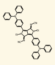 CCN1C(=NC#N)C2=C(c3ccc(N(c4ccccc4)c4ccccc4)cc3)N(CC)C(=NC#N)C2=C1c1ccc(N(c2ccccc2)c2ccccc2)cc1